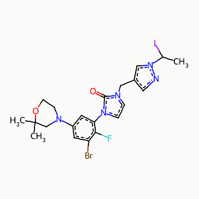 CC(I)n1cc(Cn2ccn(-c3cc(N4CCOC(C)(C)C4)cc(Br)c3F)c2=O)cn1